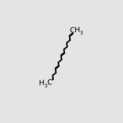 CC=CCCCCC=CCCC=CCCCC